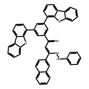 N=C(/C=C(\NNc1ccccc1)c1ccc2ccccc2c1)c1cc(-c2cccc3c2sc2ccccc23)cc(-c2cccc3c2sc2ccccc23)c1